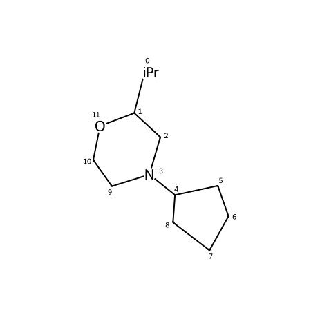 CC(C)C1CN(C2CCCC2)CCO1